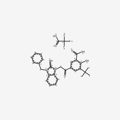 CC(C)(C)c1cc(C(=O)Cn2c(=N)n(Cc3ccccc3)c3ccccc32)cc(C(=O)O)c1O.O=C(O)C(F)(F)F